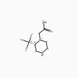 O=C(O)CN1CCNC[C@@H]1C(F)(F)F